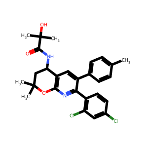 Cc1ccc(-c2cc3c(nc2-c2ccc(Cl)cc2Cl)OC(C)(C)CC3NC(=O)C(C)(C)O)cc1